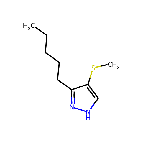 CCCCCc1n[nH]cc1SC